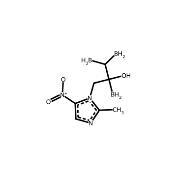 BC(B)C(B)(O)Cn1c([N+](=O)[O-])cnc1C